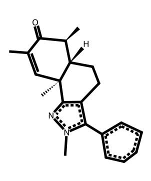 CC1=C[C@]2(C)c3nn(C)c(-c4ccccc4)c3CC[C@H]2[C@H](C)C1=O